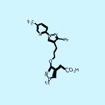 CCn1cc(CC(=O)O)c(OCCCc2cn(-c3ccc(C(F)(F)F)cn3)nc2C(C)C)n1